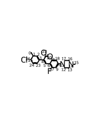 CC1C=C(c2cc3c(F)cc(N4CCN(C)CC4)cc3oc2=O)C=C[C@@H]1Cl